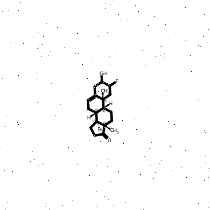 C[C@]12CC(F)C(O)CC1=CC[C@@H]1[C@H]2CC[C@]2(C)C(=O)CC[C@@H]12